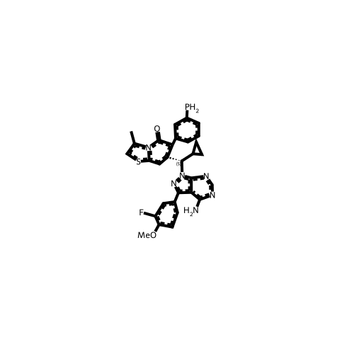 COc1ccc(-c2nn([C@H](c3cc4scc(C)n4c(=O)c3-c3cccc(P)c3)C3CC3)c3ncnc(N)c23)cc1F